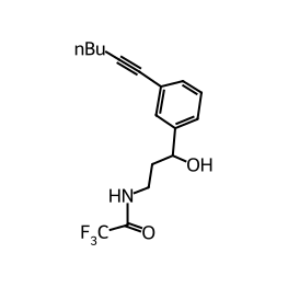 CCCCC#Cc1cccc(C(O)CCNC(=O)C(F)(F)F)c1